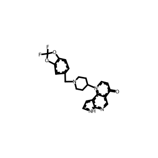 O=c1ccn(C2CCN(Cc3ccc4c(c3)OC(F)(F)O4)CC2)c2c1cnc1[nH]ccc12